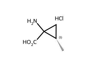 C[C@H]1CC1(N)C(=O)O.Cl